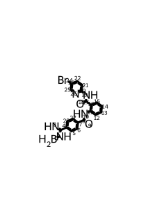 BNC(=N)c1ccc(C(=O)Nc2ccccc2C(=O)Nc2ccc(Br)cn2)cc1